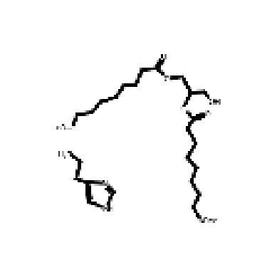 CCCCCCCCCCCCCCCCCC(=O)OCC(CO)OC(=O)CCCCCCCCCCCCCCCCC.NCCc1c[nH]cn1